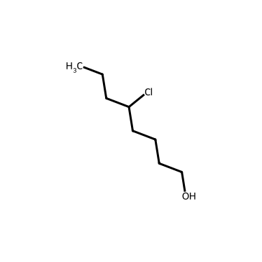 CCCC(Cl)CCCCO